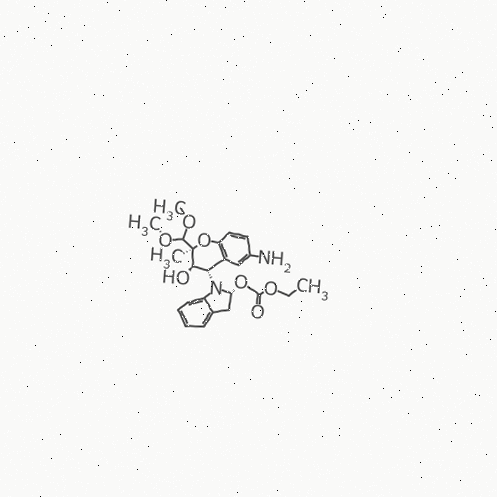 CCOC(=O)O[C@@H]1Cc2ccccc2N1[C@H]1c2cc(N)ccc2O[C@](C)(C(OC)OC)[C@@H]1O